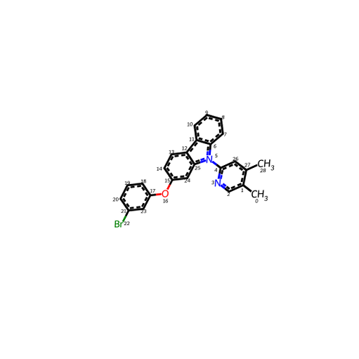 Cc1cnc(-n2c3ccccc3c3ccc(Oc4cccc(Br)c4)cc32)cc1C